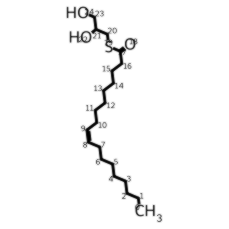 CCCCCCCC/C=C\CCCCCCCC(=O)SCC(O)CO